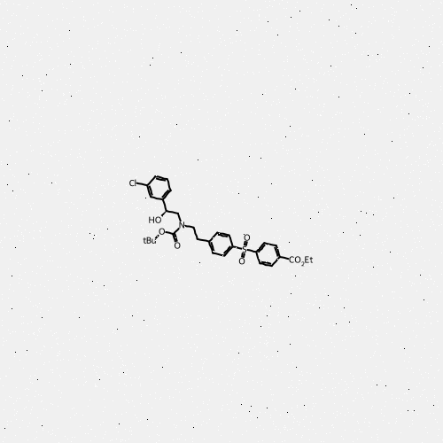 CCOC(=O)c1ccc(S(=O)(=O)c2ccc(CCN(C[C@@H](O)c3cccc(Cl)c3)C(=O)OC(C)(C)C)cc2)cc1